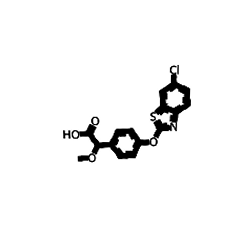 COC(C(=O)O)c1ccc(Oc2nc3ccc(Cl)cc3s2)cc1